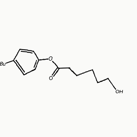 CC(C)(C)c1ccc(OC(=O)CCCCCO)cc1